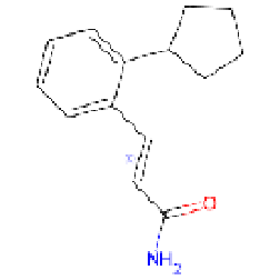 NC(=O)/C=C/c1ccccc1C1CCCC1